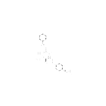 CC(C)(C)OC(=O)N(CCc1ccc(N)cc1)C[C@H](O)COc1ccccc1